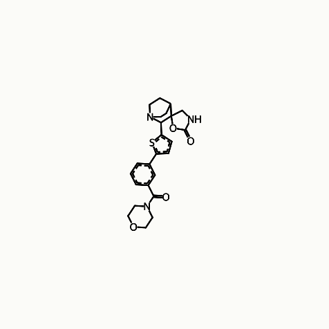 O=C1NCC2(O1)C1CCN(CC1)C2c1ccc(-c2cccc(C(=O)N3CCOCC3)c2)s1